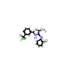 CC1SC(c2cccc(C(F)(F)F)c2)NC1=Nc1ccccc1Cl